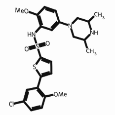 COc1ccc(N2CC(C)NC(C)C2)cc1NS(=O)(=O)c1ccc(-c2cc(Cl)ccc2OC)s1